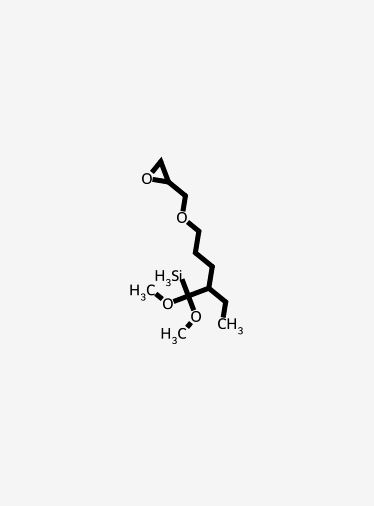 CCC(CCCOCC1CO1)C([SiH3])(OC)OC